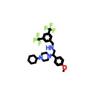 COc1ccc(C(CNCc2cc(C(F)(F)F)cc(C(F)(F)F)c2)N2CCN(C3CCCCC3)CC2)cc1